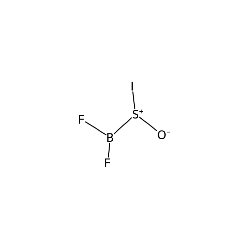 [O-][S+](I)B(F)F